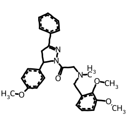 COc1ccc(C2CC(c3ccccc3)=NN2C(=O)CN(C)Cc2cccc(OC)c2OC)cc1